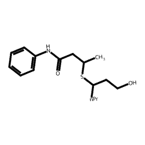 CCCC(CCO)SC(C)CC(=O)Nc1ccccc1